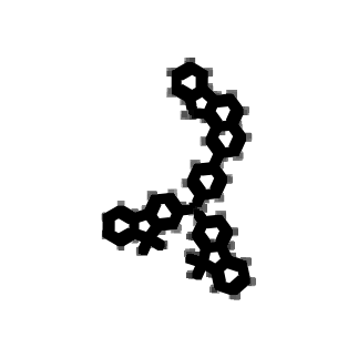 CC1(C)c2ccccc2-c2ccc(N(c3ccc(-c4ccc5ccc6c7ccccc7sc6c5c4)cc3)c3ccc4c(c3)C(C)(C)c3ccccc3-4)cc21